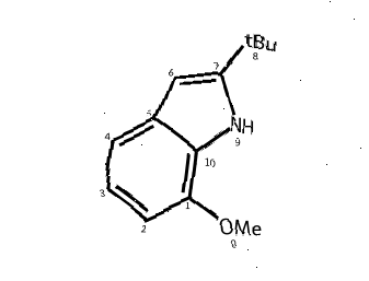 COc1cccc2cc(C(C)(C)C)[nH]c12